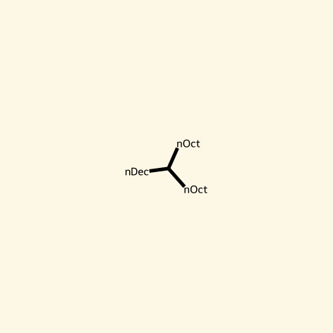 [CH2]CCCCCCCC(CCCCCCCC)CCCCCCCCCC